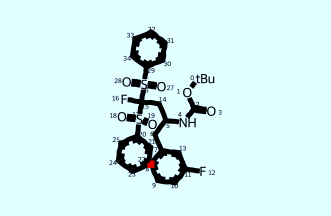 CC(C)(C)OC(=O)NC(Cc1cccc(F)c1)CC(F)(S(=O)(=O)c1ccccc1)S(=O)(=O)c1ccccc1